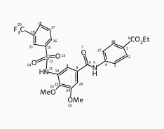 CCOC(=O)c1ccc(NC(=O)c2cc(NS(=O)(=O)c3cccc(C(F)(F)F)c3)c(OC)c(OC)c2)cc1